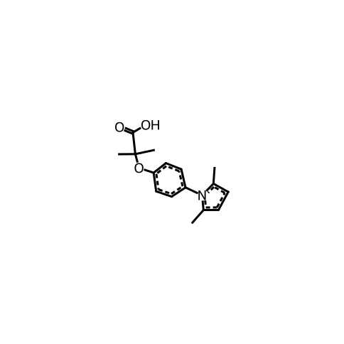 Cc1ccc(C)n1-c1ccc(OC(C)(C)C(=O)O)cc1